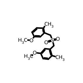 COc1ccc(C)c(CS(=O)(=O)Cc2cc(OC)ccc2C)c1